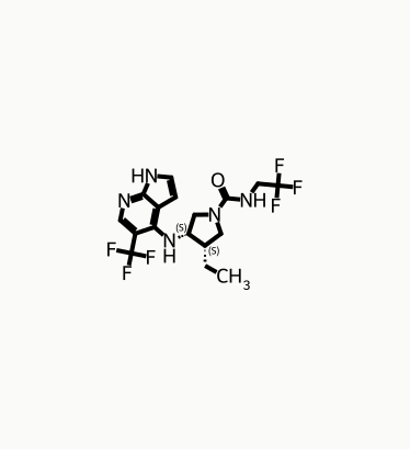 CC[C@H]1CN(C(=O)NCC(F)(F)F)C[C@H]1Nc1c(C(F)(F)F)cnc2[nH]ccc12